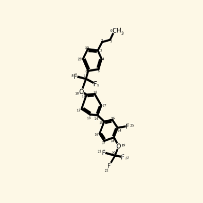 CCCc1ccc(C(F)(F)Oc2ccc(-c3ccc(OC(F)(F)F)c(F)c3)cc2)cc1